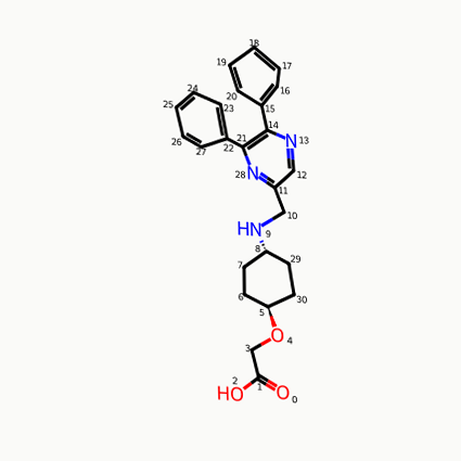 O=C(O)CO[C@H]1CC[C@H](NCc2cnc(-c3ccccc3)c(-c3ccccc3)n2)CC1